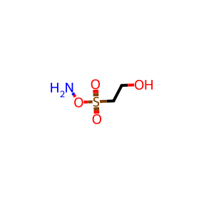 NOS(=O)(=O)CCO